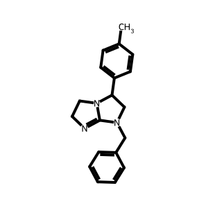 Cc1ccc(C2CN(Cc3ccccc3)C3=NCCN32)cc1